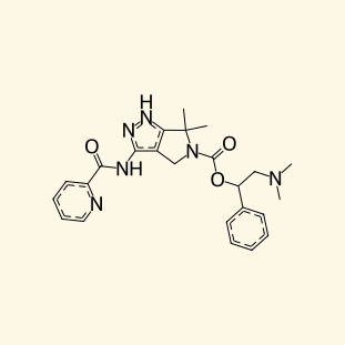 CN(C)CC(OC(=O)N1Cc2c(NC(=O)c3ccccn3)n[nH]c2C1(C)C)c1ccccc1